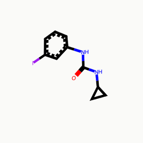 O=C(Nc1cccc(I)c1)NC1CC1